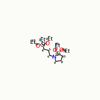 CCO[Si](CC)(CCCN1CCC[Si]1(OCC)OCC)OCC